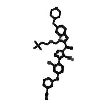 C[Si](C)(C)CCOCn1c(C(=O)c2cnn(-c3ccc(Oc4cccc(C#N)c4)cc3Cl)c2N)cc2ccc(CN3CCOCC3)cc21